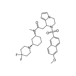 COc1ccc2cc(S(=O)(=O)N3CCn4cccc4C3CC(=O)N(C)[C@H]3CCC[C@@H](N4CCC(F)(F)CC4)C3)ccc2c1